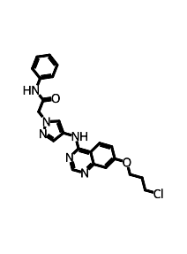 O=C(Cn1cc(Nc2ncnc3cc(OCCCCl)ccc23)cn1)Nc1ccccc1